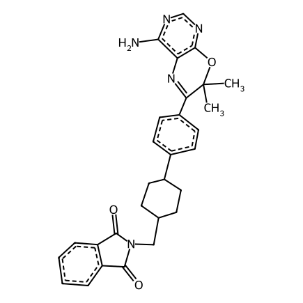 CC1(C)Oc2ncnc(N)c2N=C1c1ccc(C2CCC(CN3C(=O)c4ccccc4C3=O)CC2)cc1